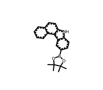 CC1(C)OB(c2ccc3[nH]c4ccc5ccccc5c4c3c2)OC1(C)C